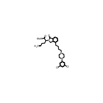 C=CCCC(C(=O)NC)N1Cc2c(CCCCN3CCN(c4cc(Cl)cc(Cl)c4)CC3)cccc2C1=O